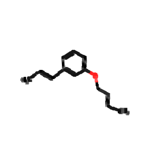 [CH2]/C=C/c1cccc(OC/C=C/C)c1